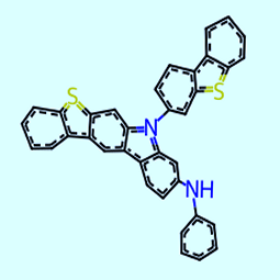 c1ccc(Nc2ccc3c4cc5c(cc4n(-c4ccc6c(c4)sc4ccccc46)c3c2)sc2ccccc25)cc1